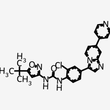 CC(C)(C)c1cc(NC(=O)Nc2ccc(-c3cnc4cc(-c5ccncc5)ccn34)cc2Cl)no1